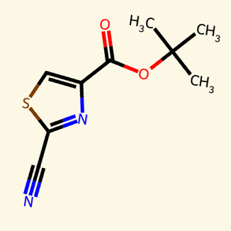 CC(C)(C)OC(=O)c1csc(C#N)n1